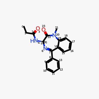 CCC(=O)N[C@@H]1N=C(c2ccccc2)c2ccccc2N(C)C1=O